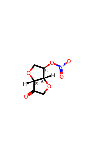 O=C1CO[C@H]2[C@H](O[N+](=O)[O-])CO[C@@H]12